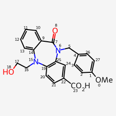 COc1ccc(CN2C(=O)c3ccccc3N(CCO)c3ccc(C(=O)O)cc32)cc1